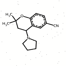 CC1(C)CC(N2CCCC2)c2cc(C#N)ccc2O1